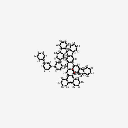 c1ccc(-c2cccc(-c3ccc(N(c4ccc5c6ccccc6c6ccccc6c5c4)c4cc5c(cc4-c4ccc6sc7ccccc7c6c4)-c4ccccc4C54c5ccccc5-c5ccccc54)cc3)c2)cc1